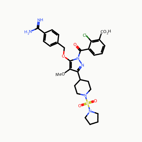 COc1c(C2CCN(S(=O)(=O)N3CCCC3)CC2)nn(C(=O)c2cccc(C(=O)O)c2Cl)c1OCc1ccc(C(=N)N)cc1